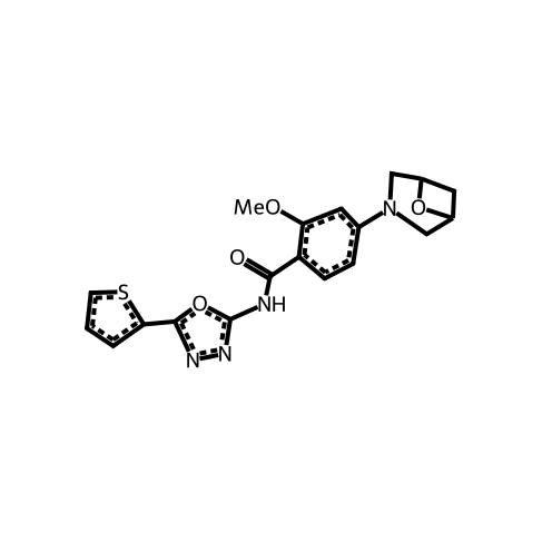 COc1cc(N2CC3CC(C2)O3)ccc1C(=O)Nc1nnc(-c2cccs2)o1